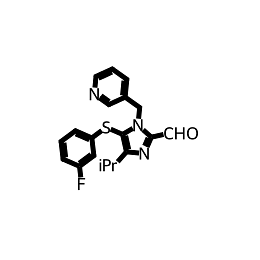 CC(C)c1nc(C=O)n(Cc2cccnc2)c1Sc1cccc(F)c1